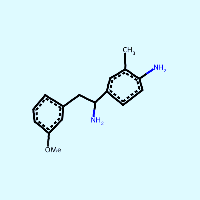 COc1cccc(CC(N)c2ccc(N)c(C)c2)c1